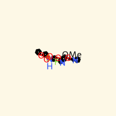 COc1cc2c(Oc3ccc(NS(=O)(=O)c4cccc(Oc5ccccc5)c4)cc3F)ccnc2cc1OCCCN1CCCCC1